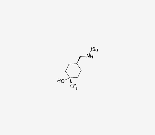 CC(C)(C)NC[C@H]1CC[C@@](O)(C(F)(F)F)CC1